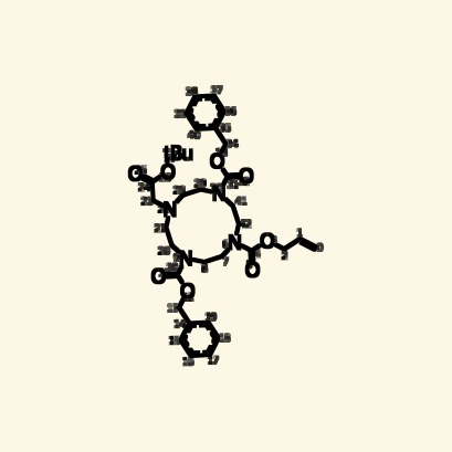 C=CCOC(=O)N1CCN(C(=O)OCc2ccccc2)CCN(CC(=O)OC(C)(C)C)CCN(C(=O)OCc2ccccc2)CC1